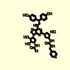 CCC(=O)N[C@H]1C[C@@H](n2cnc3c(NCC(c4ccc(O)cc4)c4ccc(O)cc4)nc(N4CCC(NC(=O)NCc5ccncc5)C4)nc32)[C@H](O)[C@@H]1O.Cl